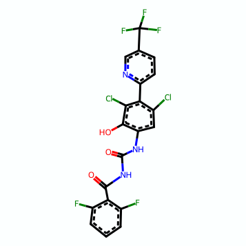 O=C(NC(=O)c1c(F)cccc1F)Nc1cc(Cl)c(-c2ccc(C(F)(F)F)cn2)c(Cl)c1O